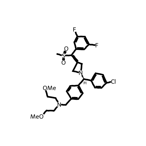 COCCN(CCOC)Cc1ccc([C@H](c2ccc(Cl)cc2)N2CC(=C(c3cc(F)cc(F)c3)S(C)(=O)=O)C2)cc1